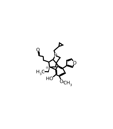 CC[C@]12CC3(CN(CC4CC4)C3C1CCC=O)c1c(-c3ccoc3)cc(OC)c(O)c12